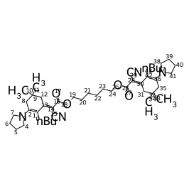 CCCCC1=C(N2CCCC2)CC(C)(C)C/C1=C(/C#N)C(=O)OCCCCCCOC(=O)/C(C#N)=C1\CC(C)(C)CC(N2CCCC2)=C1CCCC